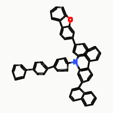 c1ccc(-c2ccc(-c3ccc(N(c4cccc(-c5ccc6c(c5)oc5ccccc56)c4)c4cc(-c5cccc6ccccc56)ccc4-c4ccccc4)cc3)cc2)cc1